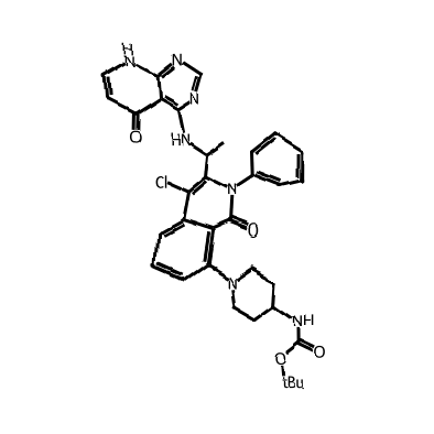 CC(Nc1ncnc2[nH]ccc(=O)c12)c1c(Cl)c2cccc(N3CCC(NC(=O)OC(C)(C)C)CC3)c2c(=O)n1-c1ccccc1